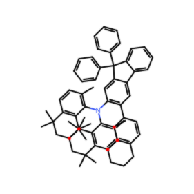 Cc1ccc2c(c1N(c1cc3c(cc1-c1ccc4c(c1)CCCC4)-c1ccccc1C3(c1ccccc1)c1ccccc1)c1c(C)ccc3c1C(C)(C)CCC3(C)C)C(C)(C)CCC2(C)C